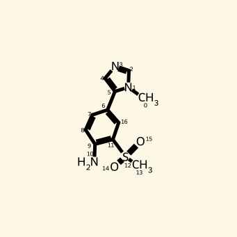 Cn1cncc1-c1ccc(N)c(S(C)(=O)=O)c1